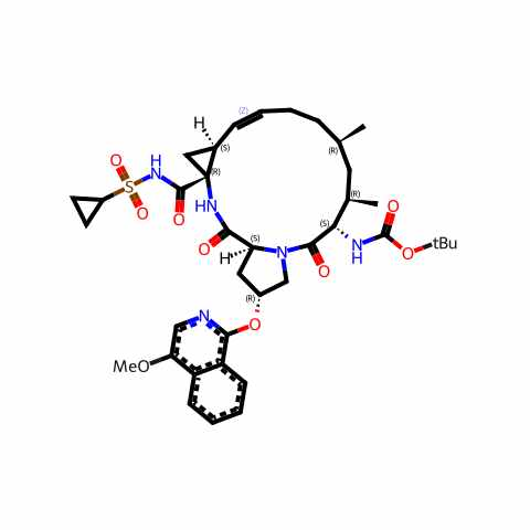 COc1cnc(O[C@@H]2C[C@H]3C(=O)N[C@]4(C(=O)NS(=O)(=O)C5CC5)C[C@H]4/C=C\CC[C@@H](C)C[C@@H](C)[C@H](NC(=O)OC(C)(C)C)C(=O)N3C2)c2ccccc12